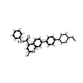 CCC1CCC(c2ccc(-c3ccc4c(C(=O)Nc5ccccc5)cc(C)nc4c3)cc2)CC1